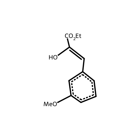 CCOC(=O)/C(O)=C/c1cccc(OC)c1